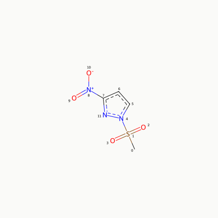 CS(=O)(=O)n1ccc([N+](=O)[O-])n1